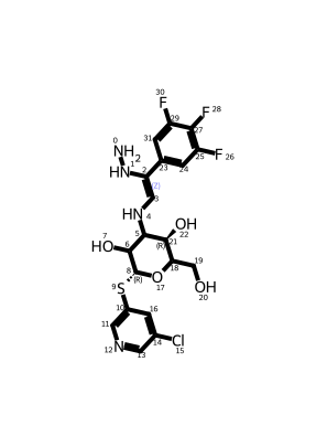 NN/C(=C\NC1C(O)[C@@H](Sc2cncc(Cl)c2)OC(CO)[C@@H]1O)c1cc(F)c(F)c(F)c1